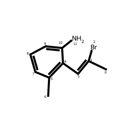 C/C(Br)=C/c1c(C)cccc1N